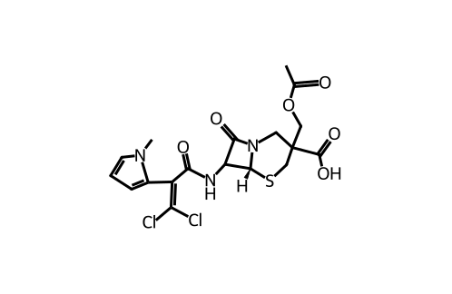 CC(=O)OCC1(C(=O)O)CS[C@@H]2C(NC(=O)C(=C(Cl)Cl)c3cccn3C)C(=O)N2C1